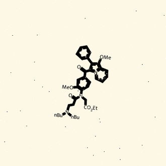 CCCCN(CCCC)CCC(=O)N(CC(=O)OCC)c1ccc(C(=O)c2c(-c3ccccc3)c(OC)c3ccccn23)cc1OC